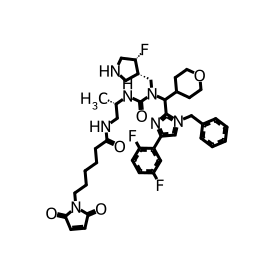 C[C@@H](CNC(=O)CCCCCN1C(=O)C=CC1=O)NC(=O)N(C[C@@H]1CNC[C@@H]1F)C(c1nc(-c2cc(F)ccc2F)cn1Cc1ccccc1)C1CCOCC1